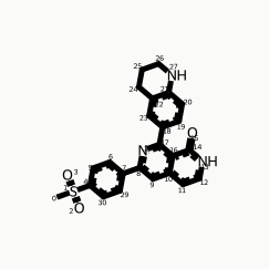 CS(=O)(=O)c1ccc(-c2cc3cc[nH]c(=O)c3c(-c3ccc4c(c3)CCCN4)n2)cc1